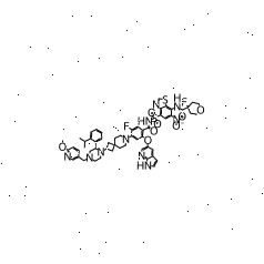 COc1ccc(CN2CCN(C3CC4(CCN(c5cc(Oc6cnc7[nH]ccc7c6)c(C(=O)NS(=O)(=O)c6cc([N+](=O)[O-])c(NCC7(F)CCOCC7)c7scnc67)cc5F)CC4)C3)[C@H](c3ccccc3C(C)C)C2)cn1